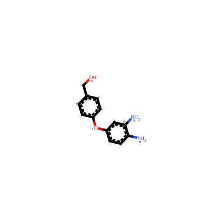 Nc1ccc(Oc2ccc(CO)cc2)cc1N